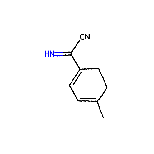 CC1=CC=C(C(=N)C#N)CC1